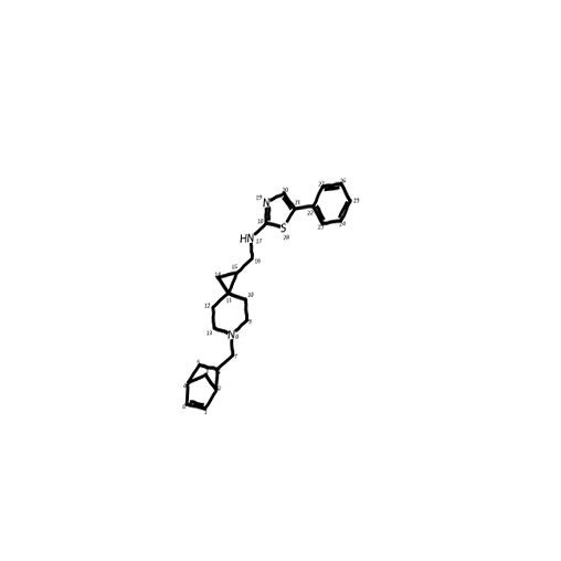 C1=CC2CC1CC2CN1CCC2(CC1)CC2CNc1ncc(-c2ccccc2)s1